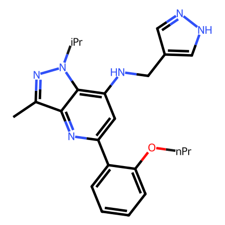 CCCOc1ccccc1-c1cc(NCc2cn[nH]c2)c2c(n1)c(C)nn2C(C)C